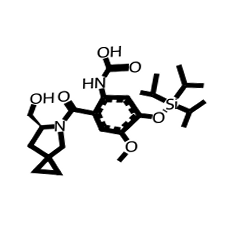 COc1cc(C(=O)N2CC3(CC3)C[C@H]2CO)c(NC(=O)O)cc1O[Si](C(C)C)(C(C)C)C(C)C